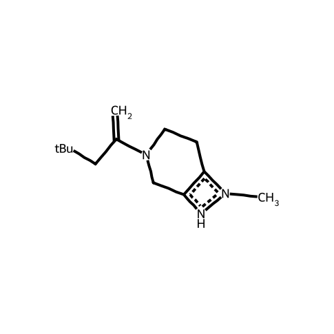 C=C(CC(C)(C)C)N1CCc2c([nH]n2C)C1